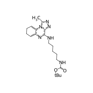 Cc1nnc2c(NCCCCCNC(=O)OC(C)(C)C)nc3c(n12)=CCCC=3